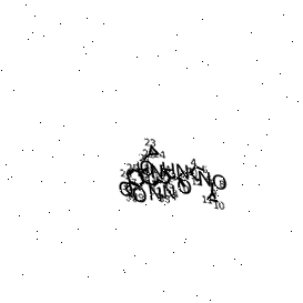 O=C(N[C@H]1CCN(C(=O)C2CC2)C1)c1c[nH]c2c(-c3c(OCC4CC4)ccc4c3OCO4)ncnc12